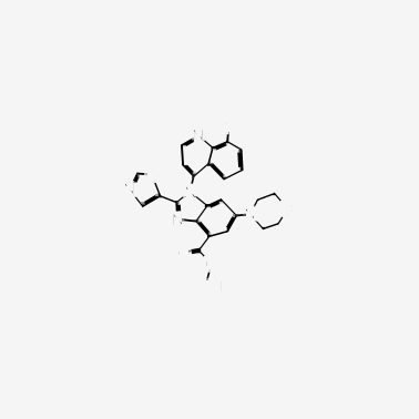 COC(=O)c1cc(N2CCOCC2)cc2c1nc(-c1cnco1)n2-c1ccnc2c(Cl)cccc12